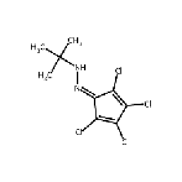 CC(C)(C)NN=C1C(Cl)=C(Cl)C(Cl)=C1Cl